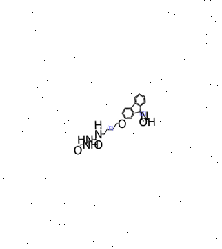 O=CNNC(=O)NC/C=C/COc1ccc2c(c1)/C(=N\O)c1ccccc1-2